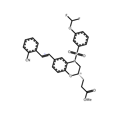 COC(=O)CC[C@H]1CN(S(=O)(=O)c2cccc(OC(F)F)c2)c2cc(/C=C/c3ccccc3C#N)ccc2O1